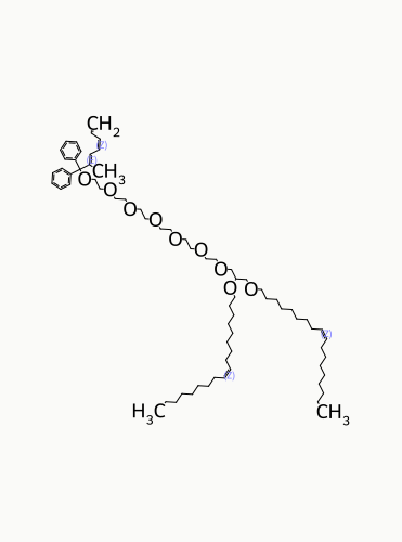 C=C/C=C\C=C(/C)C(OCCOCCOCCOCCOCCOCCOCC(COCCCCCCCC/C=C\CCCCCCCC)OCCCCCCCC/C=C\CCCCCCCC)(c1ccccc1)c1ccccc1